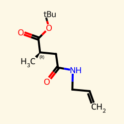 C=CCNC(=O)C[C@@H](C)C(=O)OC(C)(C)C